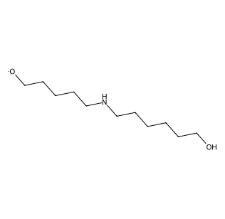 [O]CCCCCNCCCCCCO